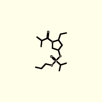 CCCOP(=O)(OC1CC(CC)N(C(=O)C(C)C)C1)C(C)C